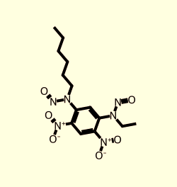 CCCCCCN(N=O)c1cc(N(CC)N=O)c([N+](=O)[O-])cc1[N+](=O)[O-]